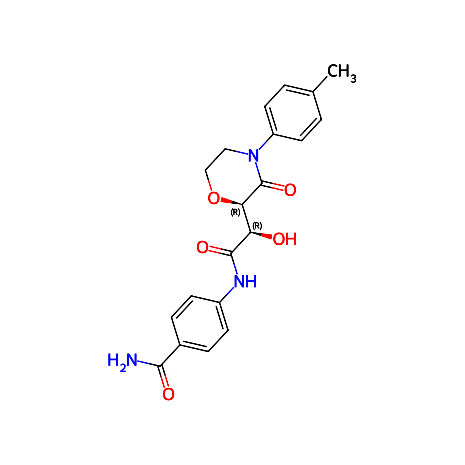 Cc1ccc(N2CCO[C@H]([C@@H](O)C(=O)Nc3ccc(C(N)=O)cc3)C2=O)cc1